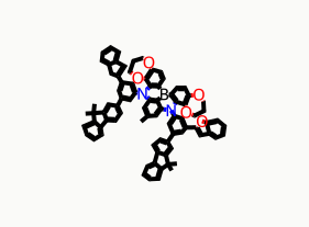 Cc1cc2c3c(c1)N(c1cc(-c4ccc5c(c4)C(C)(C)c4ccccc4-5)cc(-c4cc5ccccc5o4)c1)c1c(ccc4c1OCCCO4)B3c1ccc3c(c1N2c1cc(C2=Cc4ccccc4C2)cc(-c2ccc4c(c2)C(C)(C)c2ccccc2-4)c1)OCCCO3